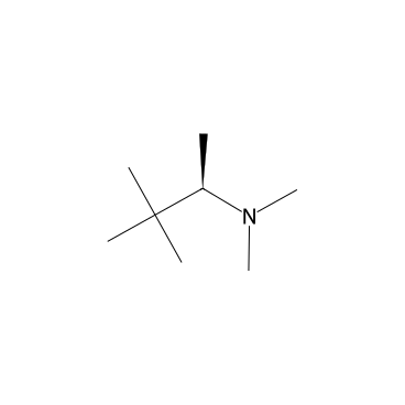 C[C@@H](N(C)C)C(C)(C)C